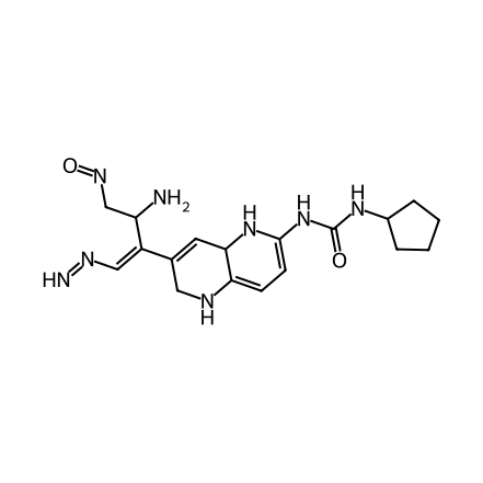 N=N/C=C(/C1=CC2NC(NC(=O)NC3CCCC3)=CC=C2NC1)C(N)CN=O